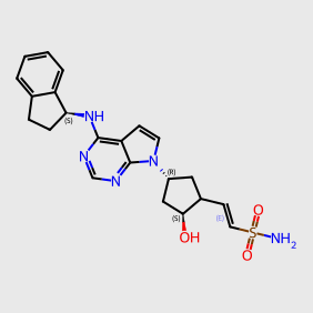 NS(=O)(=O)/C=C/C1C[C@@H](n2ccc3c(N[C@H]4CCc5ccccc54)ncnc32)C[C@@H]1O